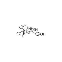 O=C(NC1CCc2cccc3c2N(C1=O)[C@H](C(=O)O)C3)[C@@H](S)Cc1ccc(O)cc1